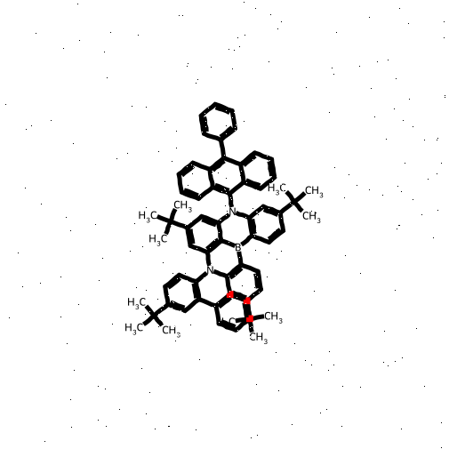 CC(C)(C)c1ccc(N2c3cc(C(C)(C)C)ccc3B3c4ccc(C(C)(C)C)cc4N(c4c5ccccc5c(-c5ccccc5)c5ccccc45)c4cc(C(C)(C)C)cc2c43)c(-c2ccccc2)c1